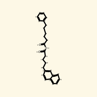 O=C(CCCCCc1ccccc1)OC(=O)CCCCc1ccc2ccccc2c1